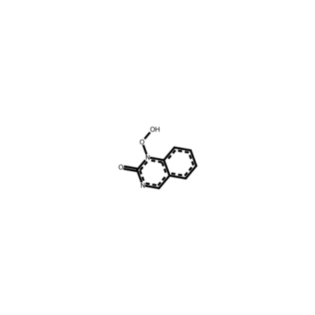 O=c1ncc2ccccc2n1OO